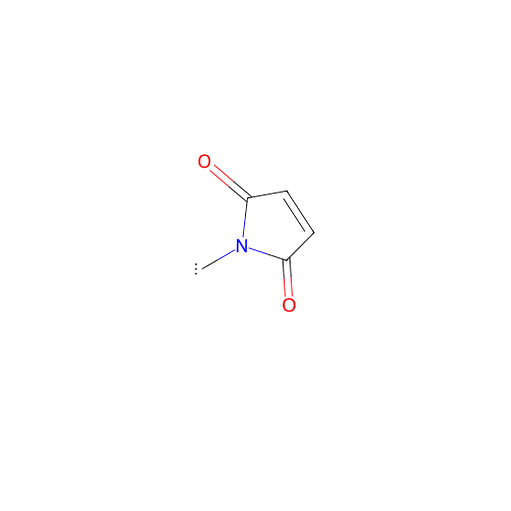 [C]N1C(=O)C=CC1=O